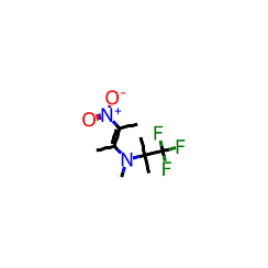 C/C(=C(/C)[N+](=O)[O-])N(C)C(C)(C)C(F)(F)F